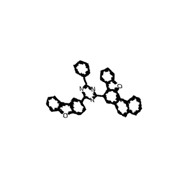 c1ccc(-c2nc(-c3ccc4oc5ccccc5c4c3)nc(-c3cc4ccc5ccccc5c4c4oc5ccccc5c34)n2)cc1